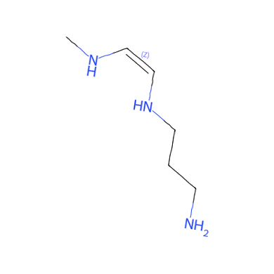 CN/C=C\NCCCN